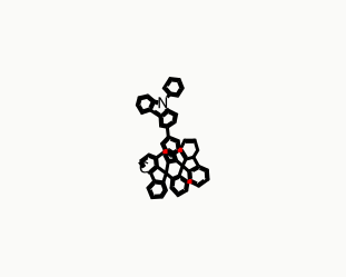 C1=CCC2C(=C1)C1(c3ccccc32)c2ccccc2C2(c3ccccc3-c3cccc(-c4cccc(-c5ccc6c(c5)c5ccccc5n6-c5ccccc5)c4)c32)c2ccccc21